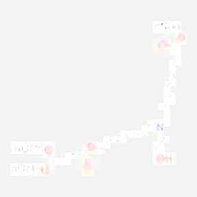 CCCCCCCCCOC(=O)CCCCCCCN(CCO)CCCCCCOC(=O)CCC(OCCCCCCCC)OCCCCCCCC